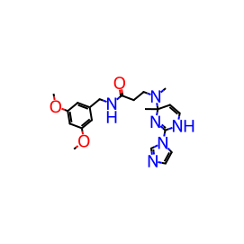 COc1cc(CNC(=O)CCN(C)C2(C)C=CNC(n3ccnc3)=N2)cc(OC)c1